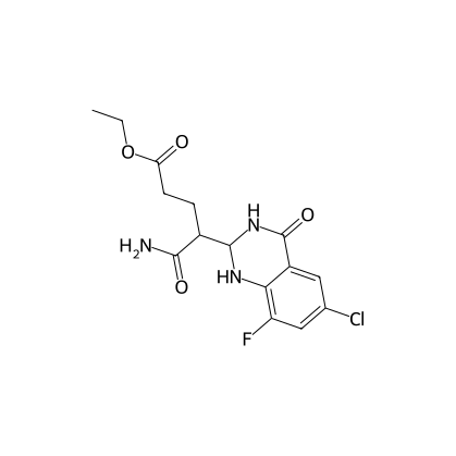 CCOC(=O)CCC(C(N)=O)C1NC(=O)c2cc(Cl)cc(F)c2N1